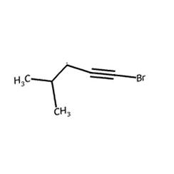 CC(C)[CH]C#CBr